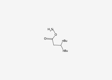 CCCCC(CCCC)CC(=O)O[SiH3]